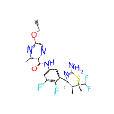 C#CCOc1cnc(C(=O)Nc2cc(F)c(F)c([C@@]3(C)N=C(N)S[C@](C)(C(F)F)[C@H]3C)c2)c(C)n1